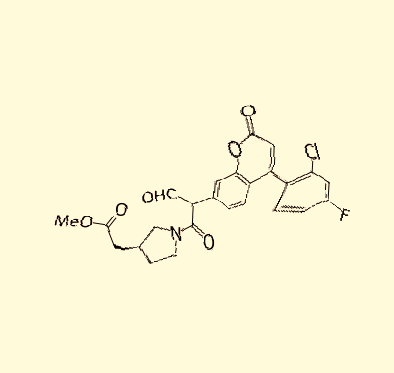 COC(=O)C[C@@H]1CCN(C(=O)C(C=O)c2ccc3c(-c4ccc(F)cc4Cl)cc(=O)oc3c2)C1